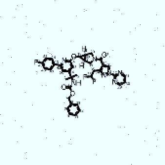 CC(C)(NC(=O)OCc1ccccc1)c1cc(OC2[C@H]3CN(C(=O)c4cn(-c5ncccn5)nc4CC(F)F)C[C@@H]23)nc(-c2ccc(F)cc2)c1